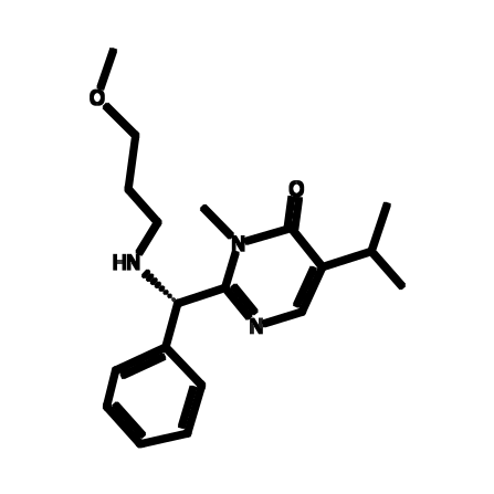 COCCCN[C@@H](c1ccccc1)c1ncc(C(C)C)c(=O)n1C